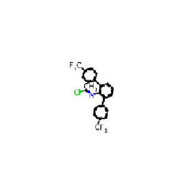 C/C(Cl)=N\c1c(-c2ccc(C(F)(F)F)cc2)cccc1-c1ccc(C(F)(F)F)cc1